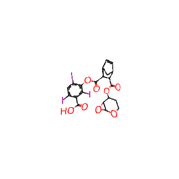 O=C(O)c1c(I)cc(I)c(OC(=O)C2C3C=CC(C3)C2C(=O)OC2CCOC3OC23)c1I